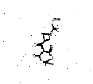 CC(C)(C)OC(=O)N1CC(C(=O)C2C(=O)OC(C)(C)OC2=O)C1